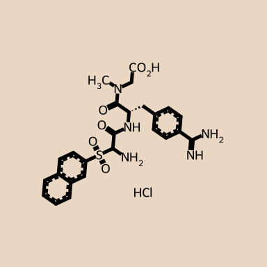 CN(CC(=O)O)C(=O)[C@H](Cc1ccc(C(=N)N)cc1)NC(=O)C(N)S(=O)(=O)c1ccc2ccccc2c1.Cl